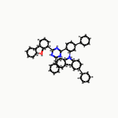 c1ccc(-c2ccc(-c3nc(-c4ccccc4)nc(-c4cccc5c4oc4ccccc45)n3)c(-n3c4ccccc4c4cc(-c5ccccc5)ccc43)c2)cc1